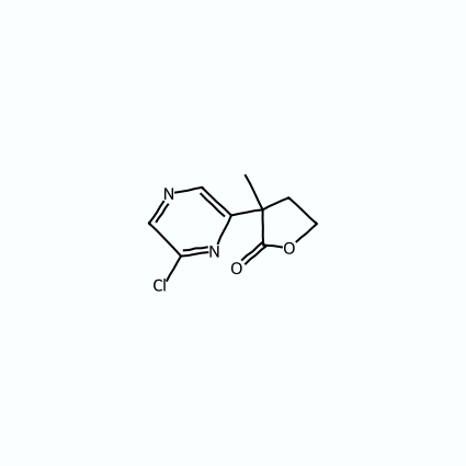 CC1(c2cncc(Cl)n2)CCOC1=O